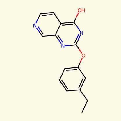 CCc1cccc(Oc2nc(O)c3ccncc3n2)c1